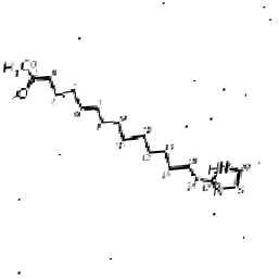 CC(=O)CCCCCCCCCCCCCCc1ncc[nH]1